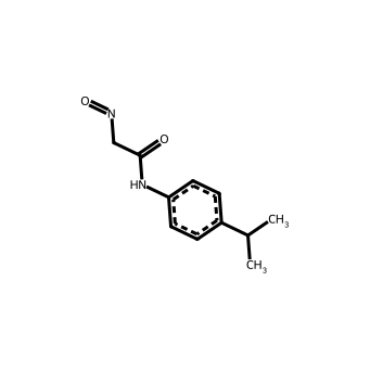 CC(C)c1ccc(NC(=O)CN=O)cc1